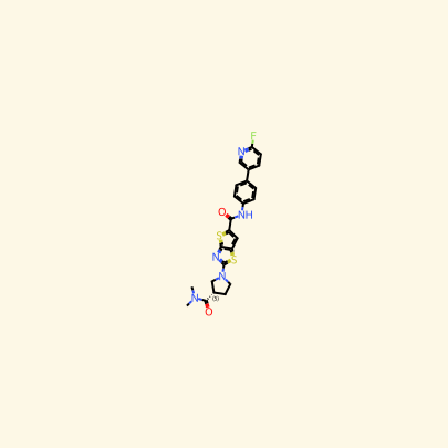 CN(C)C(=O)[C@H]1CCN(c2nc3sc(C(=O)Nc4ccc(-c5ccc(F)nc5)cc4)cc3s2)C1